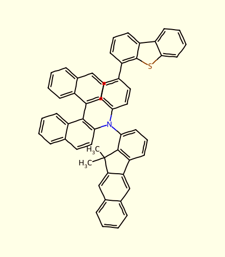 CC1(C)c2cc3ccccc3cc2-c2cccc(N(c3ccc(-c4cccc5c4sc4ccccc45)cc3)c3ccc4ccccc4c3-c3cccc4ccccc34)c21